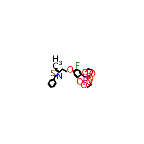 Cc1sc(-c2ccccc2)nc1CCOc1ccc(C(P2(=O)OCCO2)P2(=O)OCCO2)cc1F